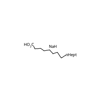 CCCCCCCCCCCCCCC(=O)O.[NaH]